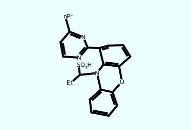 CCCc1ccnc(-c2cccc3c2N(C(CC)S(=O)(=O)O)c2ccccc2O3)n1